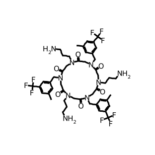 Cc1cc(CN2CC(=O)N(CCCN)CC(=O)N(Cc3cc(C)cc(C(F)(F)F)c3)CC(=O)N(CCCN)CC(=O)N(Cc3cc(C)cc(C(F)(F)F)c3)CC(=O)N(CCCN)CC2=O)cc(C(F)(F)F)c1